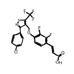 O=C(O)C=Cc1ccc(OCc2c(-c3ccc(Cl)cc3)nsc2C(F)(F)F)c(F)c1F